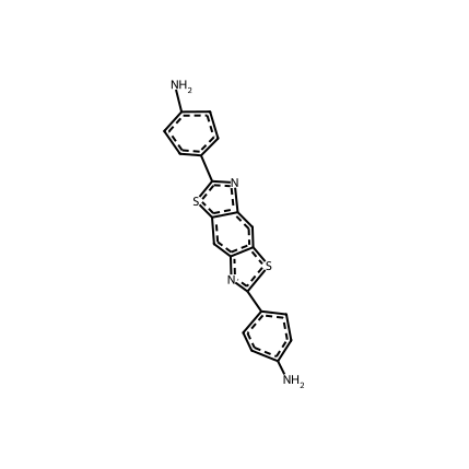 Nc1ccc(-c2nc3cc4sc(-c5ccc(N)cc5)nc4cc3s2)cc1